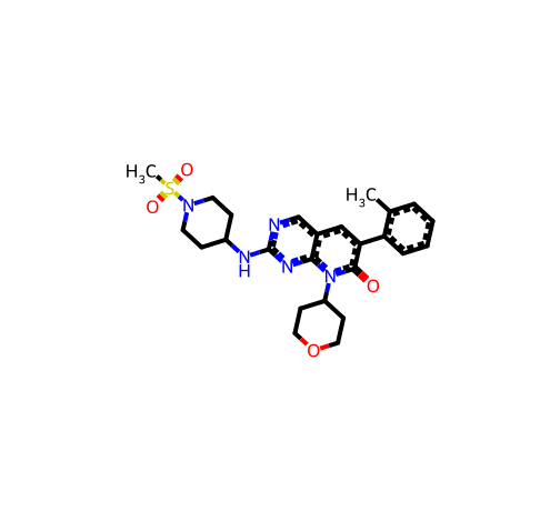 Cc1ccccc1-c1cc2cnc(NC3CCN(S(C)(=O)=O)CC3)nc2n(C2CCOCC2)c1=O